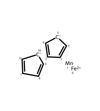 [Fe+2].[Mn].c1cc[cH-]c1.c1cc[cH-]c1